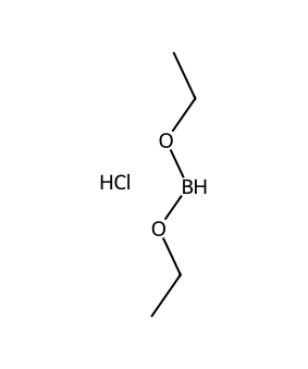 CCOBOCC.Cl